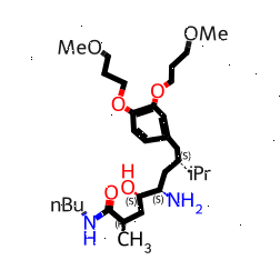 CCCCNC(=O)[C@H](C)C[C@H](O)[C@@H](N)C[C@H](Cc1ccc(OCCCOC)c(OCCCOC)c1)C(C)C